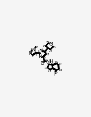 Cn1cncc1-c1nc(C(=O)N[C@H]2CCc3c(F)cccc32)cc(C2CCOCC2)n1